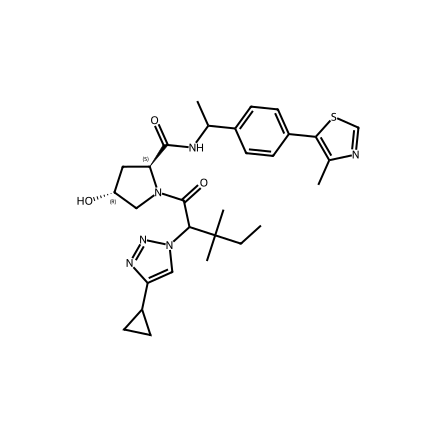 CCC(C)(C)C(C(=O)N1C[C@H](O)C[C@H]1C(=O)NC(C)c1ccc(-c2scnc2C)cc1)n1cc(C2CC2)nn1